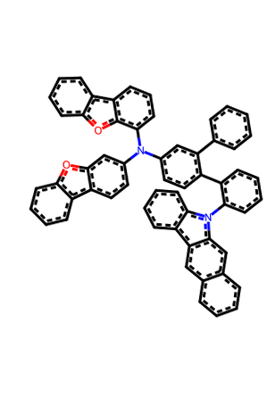 c1ccc(-c2cc(N(c3ccc4c(c3)oc3ccccc34)c3cccc4c3oc3ccccc34)ccc2-c2ccccc2-n2c3ccccc3c3cc4ccccc4cc32)cc1